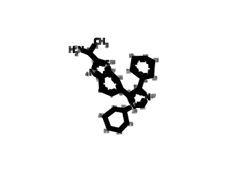 CC(N)c1nc2ccc(-c3c(-c4ccccc4)ncn3C3CCCCC3)cc2s1